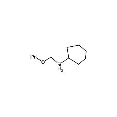 CC(C)OC[SiH2]C1CCCCC1